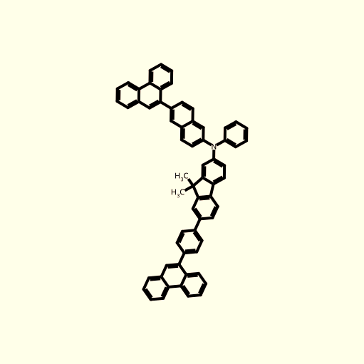 CC1(C)c2cc(-c3ccc(-c4cc5ccccc5c5ccccc45)cc3)ccc2-c2ccc(N(c3ccccc3)c3ccc4cc(-c5cc6ccccc6c6ccccc56)ccc4c3)cc21